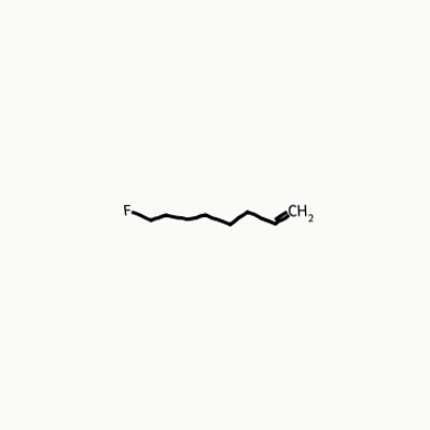 C=CCCCCCCF